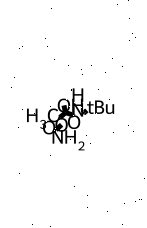 CC(OC(N)=O)C(O)C(=O)NCC(C)(C)C